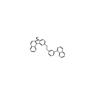 c1cc(CCc2ccc3sc4ccc5ccccc5c4c3c2)cc(-c2cccc3ccccc23)c1